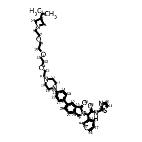 CC(C)C1CN(CCOCCOCCOCCN2CCN(c3ccc(-c4ccc5c(c4)C(=O)N(C(C(=O)Nc4nccs4)c4ccccc4)C5)cc3)CC2)C1